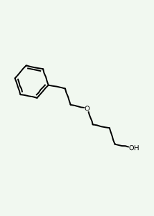 OCCCOCCc1ccccc1